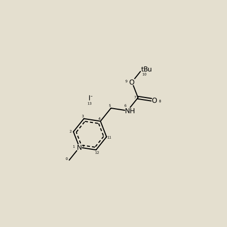 C[n+]1ccc(CNC(=O)OC(C)(C)C)cc1.[I-]